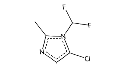 Cc1n[c]c(Cl)n1C(F)F